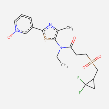 CCN(C(=O)CCS(=O)(=O)CC1CC1(F)F)c1sc(-c2ccc[n+]([O-])c2)nc1C